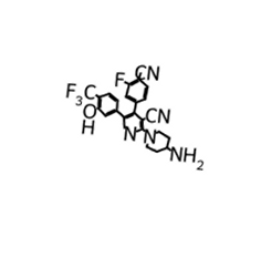 N#Cc1ccc(-c2c(-c3ccc(C(F)(F)F)c(O)c3)cnc(N3CCC(N)CC3)c2C#N)cc1F